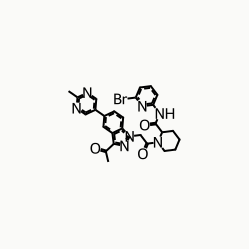 CC(=O)c1nn(CC(=O)N2CCCCC2C(=O)Nc2cccc(Br)n2)c2ccc(-c3cnc(C)nc3)cc12